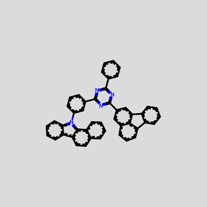 c1ccc(-c2nc(-c3cccc(-n4c5ccccc5c5ccc6ccccc6c54)c3)nc(-c3cc4c5c(cccc5c3)-c3ccccc3-4)n2)cc1